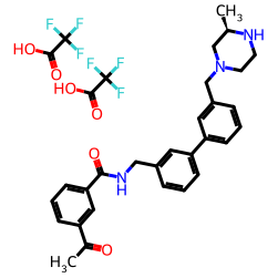 CC(=O)c1cccc(C(=O)NCc2cccc(-c3cccc(CN4CCN[C@H](C)C4)c3)c2)c1.O=C(O)C(F)(F)F.O=C(O)C(F)(F)F